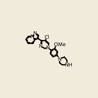 COc1cc(N2CCNCC2)ccc1N1C=C(Cl)C(c2cnn3ccccc23)=NC1